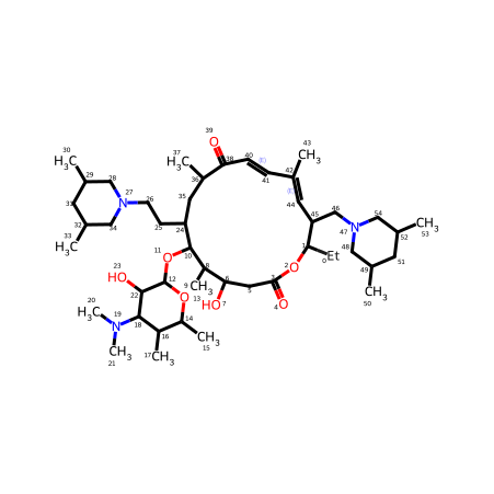 CCC1OC(=O)CC(O)C(C)C(OC2OC(C)C(C)C(N(C)C)C2O)C(CCN2CC(C)CC(C)C2)CC(C)C(=O)/C=C/C(C)=C/C1CN1CC(C)CC(C)C1